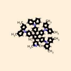 Cc1ccc2c(c1)c1cc(C)ccc1n2-c1ccc(-c2c(C#N)c(-c3cc(C)nc(C)c3)c(-c3ccc(-n4c5ccc(C)cc5c5cc(C)ccc54)cc3)c(-c3ccc(-n4c5ccc(C)cc5c5cc(C)ccc54)cc3)c2-c2ccc(-n3c4ccccc4c4ccccc43)cc2)cc1